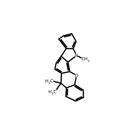 Cn1c2ccccc2c2ccc3c(c21)Oc1ccccc1C3(C)C